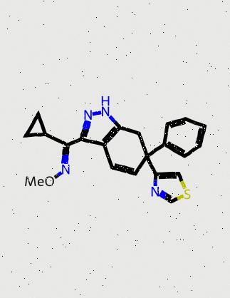 CON=C(c1n[nH]c2c1C=CC(c1ccccc1)(c1cscn1)C2)C1CC1